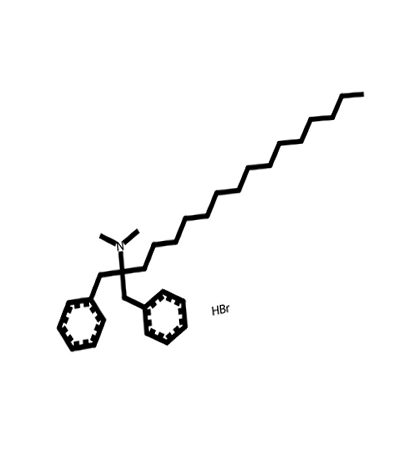 Br.CCCCCCCCCCCCCCCC(Cc1ccccc1)(Cc1ccccc1)N(C)C